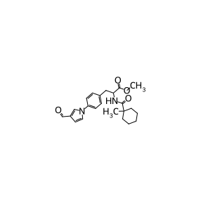 COC(=O)C(Cc1ccc(-n2ccc(C=O)c2)cc1)NC(=O)C1(C)CCCCC1